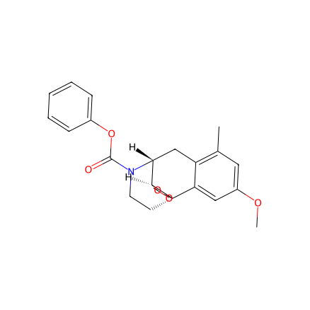 COc1cc(C)c2c(c1)[C@]13CCN(C(=O)Oc4ccccc4)[C@H](C2)[C@@H]1OCOC3